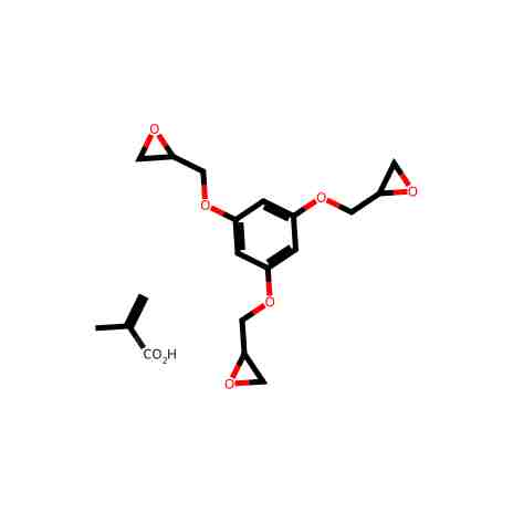 C=C(C)C(=O)O.c1c(OCC2CO2)cc(OCC2CO2)cc1OCC1CO1